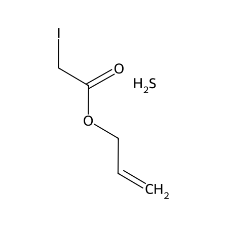 C=CCOC(=O)CI.S